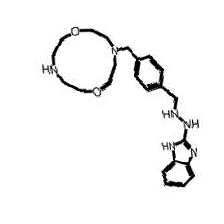 c1ccc2[nH]c(NNCc3ccc(CN4CCOCCNCCOCC4)cc3)nc2c1